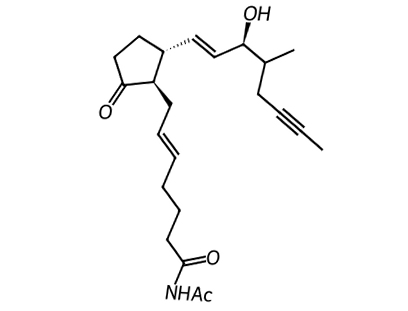 CC#CCC(C)[C@H](O)C=C[C@H]1CCC(=O)[C@@H]1CC=CCCCC(=O)NC(C)=O